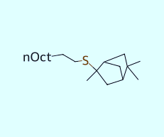 CCCCCCCCCCSC1(C)CC2CC1CC2(C)C